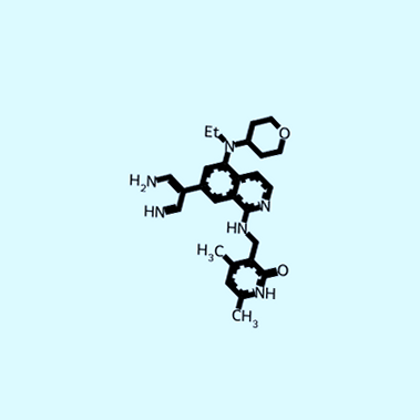 CCN(c1cc(/C(C=N)=C/N)cc2c(NCc3c(C)cc(C)[nH]c3=O)nccc12)C1CCOCC1